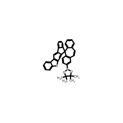 CC1(C)OB(c2ccc3c(c2)C=Cc2ccccc2C32c3ccccc3-c3cc4c(cc32)sc2ccccc24)OC1(C)C